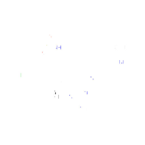 CS(=O)(=O)Nc1cccc(-c2cc(Cl)ccc2[C@@H](Oc2cc(N3CCC4(CC3)CN[C@@H](C(=O)O)C4)nc(N)n2)C(F)(F)F)c1